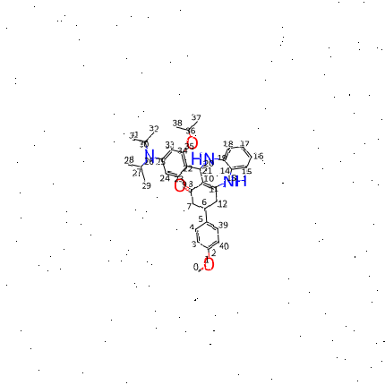 COc1ccc(C2CC(=O)C3=C(C2)Nc2ccccc2NC3c2ccc(N(C(C)C)C(C)C)cc2OC(C)C)cc1